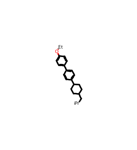 CCOc1ccc(-c2ccc(C3CCC(CC(C)C)CC3)cc2)cc1